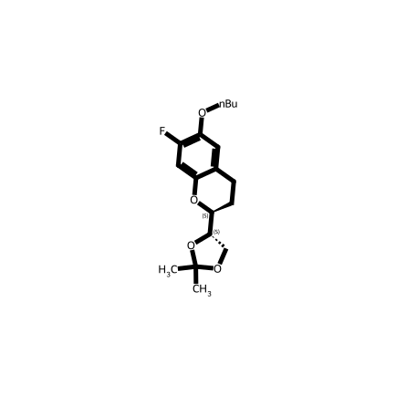 CCCCOc1cc2c(cc1F)O[C@H]([C@@H]1COC(C)(C)O1)CC2